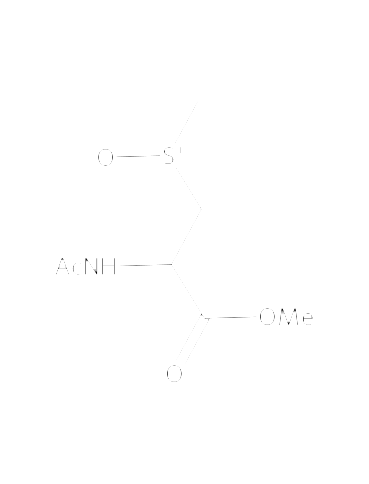 COC(=O)C(C[S+](C)[O-])NC(C)=O